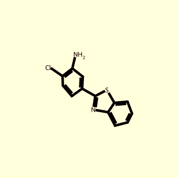 Nc1cc(-c2nc3ccccc3s2)ccc1Cl